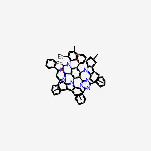 CCc1cc(C)ccc1N(c1c(-c2ccccc2)c(-n2c3ccc(C)cc3c3cc(C)ccc32)c(-c2nc(-c3ccccc3)nc(-c3ccccc3)n2)c(-n2c3ccc(C)cc3c3cc(C)ccc32)c1-c1nc(-c2ccccc2)cc(-c2ccccc2)n1)C(C)C(C)C